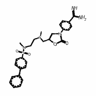 CN(CCN(C)S(=O)(=O)c1ccc(-c2ccccc2)cc1)CC1CN(c2ccc(C(=N)N)cc2)C(=O)O1